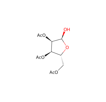 CC(=O)OC[C@H]1O[C@H](O)[C@H](OC(C)=O)[C@@H]1OC(C)=O